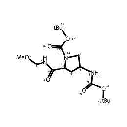 COCNC(=O)[C@@H]1CC(NC(=O)OC(C)(C)C)CN1C(=O)OC(C)(C)C